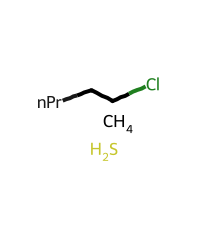 C.CCCCCCl.S